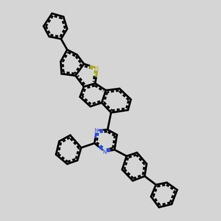 c1ccc(-c2ccc(-c3cc(-c4cccc5c4ccc4c6ccc(-c7ccccc7)cc6sc54)nc(-c4ccccc4)n3)cc2)cc1